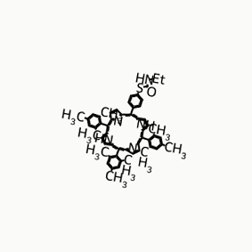 CCNC(=O)Sc1ccc(-c2c3nc(c(-c4c(C)cc(C)cc4C)c4ccc([nH]4)c(-c4c(C)cc(C)cc4C)c4nc(c(-c5c(C)cc(C)cc5C)c5ccc2[nH]5)C=C4)C=C3)cc1